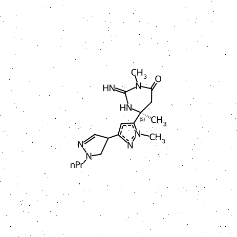 CCCN1CC(c2cc([C@]3(C)CC(=O)N(C)C(=N)N3)n(C)n2)C=N1